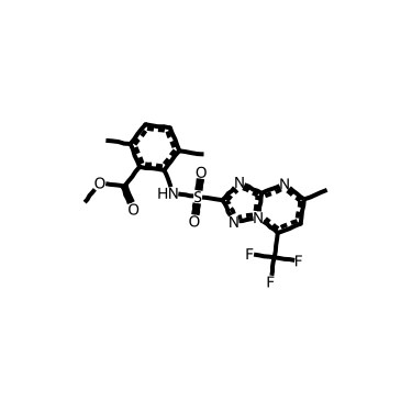 COC(=O)c1c(C)ccc(C)c1NS(=O)(=O)c1nc2nc(C)cc(C(F)(F)F)n2n1